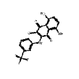 O=C1C(Cl)=C(Nc2cccc(C(F)(F)F)c2)C(=O)c2c(O)ccc(O)c21